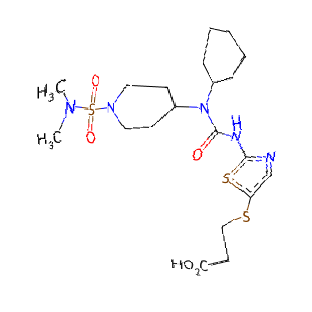 CN(C)S(=O)(=O)N1CCC(N(C(=O)Nc2ncc(SCCC(=O)O)s2)C2CCCCC2)CC1